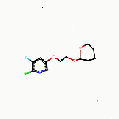 Fc1cc(OCCOC2CCCCO2)cnc1Cl